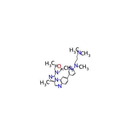 Cc1nc(N2C[C@@H](C)O[C@@H](C)C2)n2c1cnc1ccc(-c3ccc(N(C)CCCN(C)C)nc3)cc12